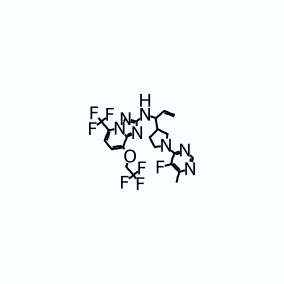 C=CC(Nc1nc2c(OCC(F)(F)F)ccc(C(F)(F)F)n2n1)C1CCN(c2ncnc(C)c2F)C1